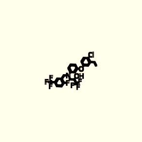 CCc1cc(Oc2cccc(N(Cc3cc(C(F)(F)F)ccc3F)CC(O)C(F)(F)F)c2)ccc1Cl